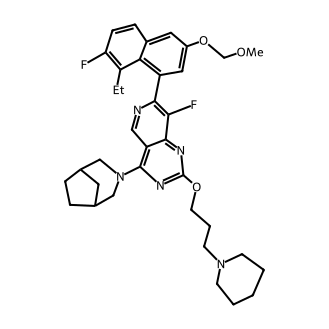 CCc1c(F)ccc2cc(OCOC)cc(-c3ncc4c(N5CC6CCC(C6)C5)nc(OCCCN5CCCCC5)nc4c3F)c12